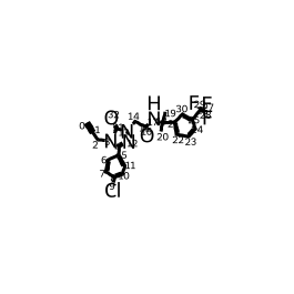 C#CCn1c(-c2ccc(Cl)cc2)nn(CC(=O)NC(C)(C)c2cccc(C(F)(F)F)c2)c1=O